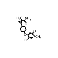 Cn1cc(Br)c(OC2CCC(C3CC3(C)C(N)=O)CC2)cc1=O